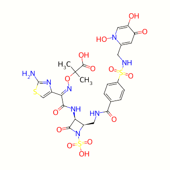 CC(C)(ON=C(C(=O)N[C@@H]1C(=O)N(S(=O)(=O)O)[C@@H]1CNC(=O)c1ccc(S(=O)(=O)NCc2cc(=O)c(O)cn2O)cc1)c1csc(N)n1)C(=O)O